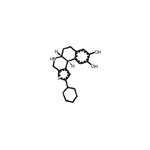 Oc1cc2c(cc1O)[C@H]1c3cc(C4CCCCC4)sc3CN[C@@H]1CC2